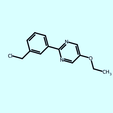 CCOc1cnc(-c2cccc(CCl)c2)nc1